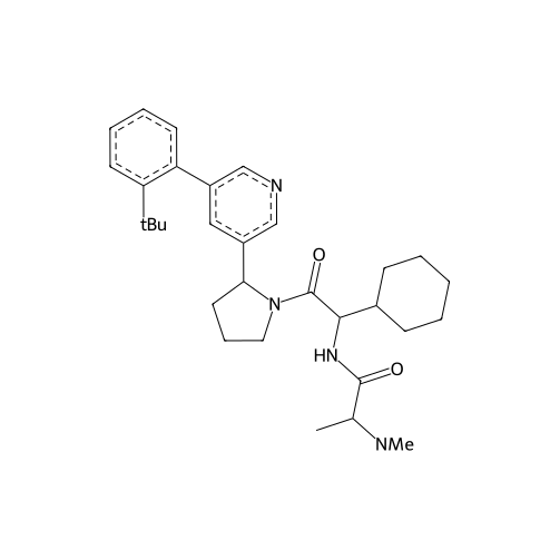 CNC(C)C(=O)NC(C(=O)N1CCCC1c1cncc(-c2ccccc2C(C)(C)C)c1)C1CCCCC1